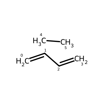 C=CC=C.CC